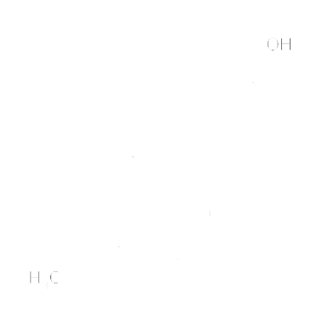 CCc1ccc(C2CC(O)C2)cc1